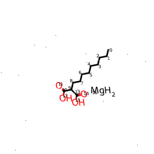 CCCCCCCCCC(C(=O)O)C(=O)O.[MgH2]